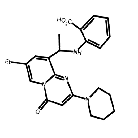 CCc1cc(C(C)Nc2ccccc2C(=O)O)c2nc(N3CCCCC3)cc(=O)n2c1